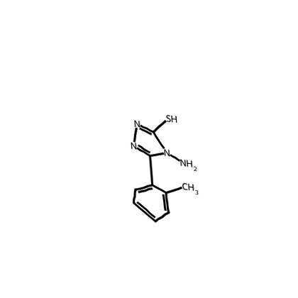 Cc1ccccc1-c1nnc(S)n1N